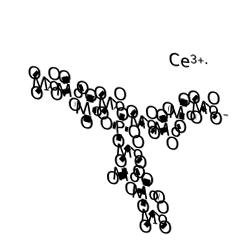 O=P([O][Mo](=[O])(=[O])[O][Mo](=[O])(=[O])[O][Mo](=[O])(=[O])[O][Mo](=[O])(=[O])[O-])([O][Mo](=[O])(=[O])[O][Mo](=[O])(=[O])[O][Mo](=[O])(=[O])[O][Mo](=[O])(=[O])[O-])[O][Mo](=[O])(=[O])[O][Mo](=[O])(=[O])[O][Mo](=[O])(=[O])[O][Mo](=[O])(=[O])[O-].[Ce+3]